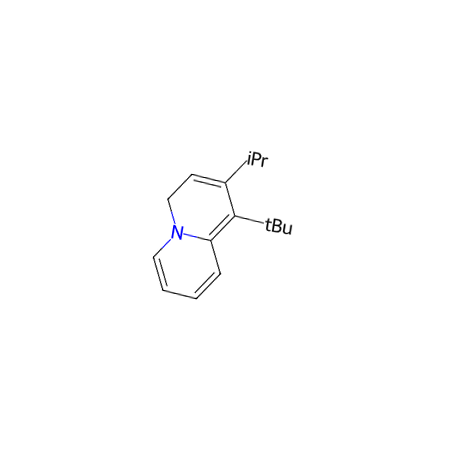 CC(C)C1=CCN2C=CC=CC2=C1C(C)(C)C